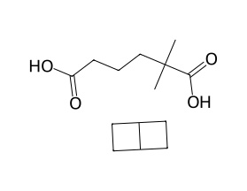 C1CC2CCC12.CC(C)(CCCC(=O)O)C(=O)O